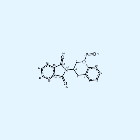 O=POCC(Cc1ccccc1)N1C(=O)c2ccccc2C1=O